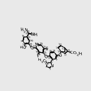 CN1CC=NC1c1cc(OC23CCC(C2)C(C(=O)O)C3)ccc1Oc1c(F)cnc(Oc2cc(C(=N)N)ccc2O)c1F